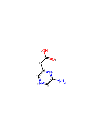 Nc1cncc(CC(=O)O)n1